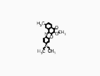 CCN(CC)c1ccc2nc3c4c(c(=O)c(OC)c-3oc2c1)C=CC(C)C4